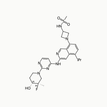 CC(C)c1ccc(N2CC(NS(C)(=O)=O)C2)c2cnc(Nc3ccnc(N4CC[C@@H](O)[C@](C)(F)C4)n3)cc12